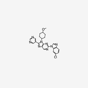 COC1CCC(n2c(-c3cncnc3)nc3cnc(-n4cnc5ccc(Cl)cc54)nc32)CC1